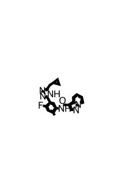 Cc1cc(F)c(-c2nnc(CC3CC3)[nH]2)cc1NC(=O)c1cnn2ccccc12